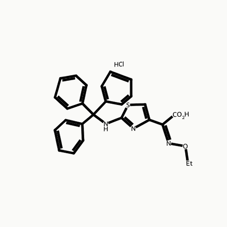 CCON=C(C(=O)O)c1csc(NC(c2ccccc2)(c2ccccc2)c2ccccc2)n1.Cl